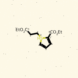 CCOC(=O)CC[SH]1C=CC=C1C(=O)OCC